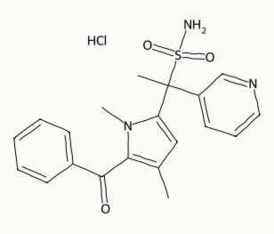 Cc1cc(C(C)(c2cccnc2)S(N)(=O)=O)n(C)c1C(=O)c1ccccc1.Cl